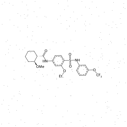 CCOc1cc(NC(=O)[C@H]2CCCC[C@@H]2OC)ccc1S(=O)(=O)Nc1cccc(OC(F)(F)F)c1